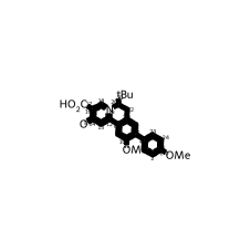 COc1ccc(-c2cc3c(cc2OC)-c2cc(=O)c(C(=O)O)cn2C(C(C)(C)C)C3)cc1